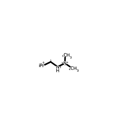 CC(C)CN[N+](C)C